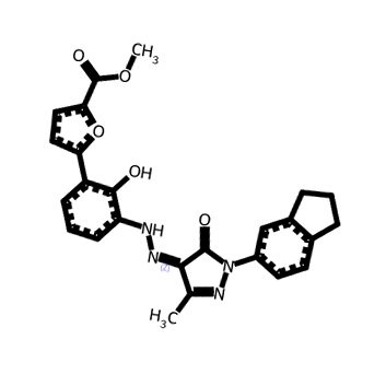 COC(=O)c1ccc(-c2cccc(N/N=C3\C(=O)N(c4ccc5c(c4)CCC5)N=C3C)c2O)o1